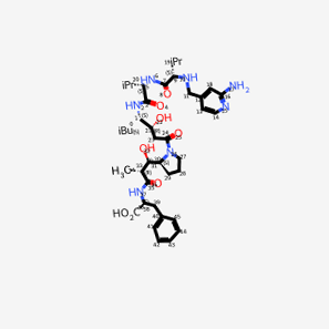 CC[C@H](C)[C@H](NC(=O)[C@@H](NC(=O)[C@@H](NCc1ccnc(N)c1)C(C)C)C(C)C)[C@H](O)CC(=O)N1CCC[C@H]1[C@H](O)[C@@H](C)C(=O)N[C@@H](Cc1ccccc1)C(=O)O